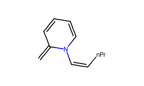 C=C1C=CC=CN1/C=C\CCC